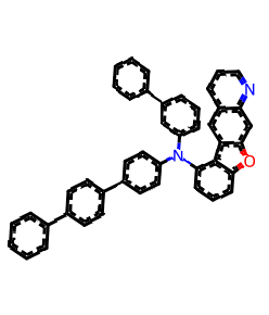 c1ccc(-c2ccc(-c3ccc(N(c4cccc(-c5ccccc5)c4)c4cccc5oc6cc7ncccc7cc6c45)cc3)cc2)cc1